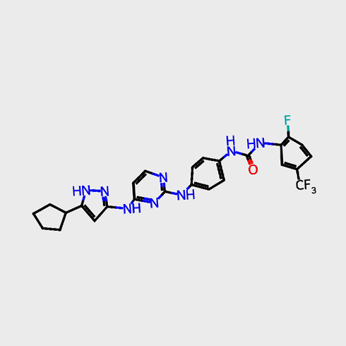 O=C(Nc1ccc(Nc2nccc(Nc3cc(C4CCCC4)[nH]n3)n2)cc1)Nc1cc(C(F)(F)F)ccc1F